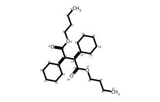 CCCCOC(=O)C(=C1CCCCC1)C(C(=O)OCCCC)=C1CCCCC1